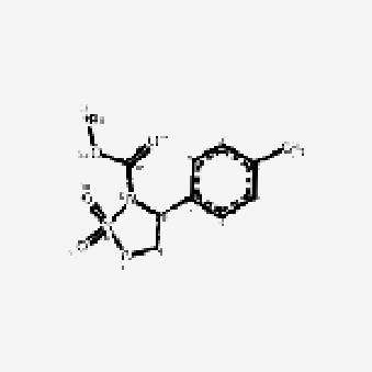 Cc1ccc([C@H]2COS(=O)(=O)N2C(=O)OC(C)(C)C)cc1